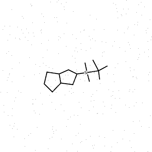 CC(C)(C)[Si](C)(C)C1CC2CCCC2C1